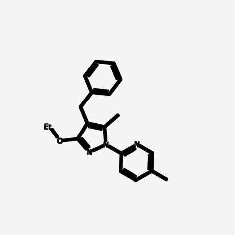 CCOc1nn(-c2ccc(C)cn2)c(C)c1Cc1ccccc1